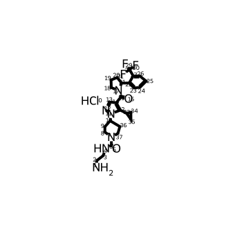 Cl.NCCNC(=O)N1CCC(n2ncc(C(=O)N3CCCC3c3ccccc3C(F)(F)F)c2C2CC2)CC1